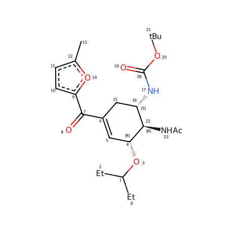 CCC(CC)O[C@@H]1C=C(C(=O)c2ccc(C)o2)C[C@H](NC(=O)OC(C)(C)C)[C@H]1NC(C)=O